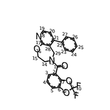 O=C(c1cccc2c1OC(F)(F)O2)N1CCOc2nccc(-c3ccccc3)c2C1